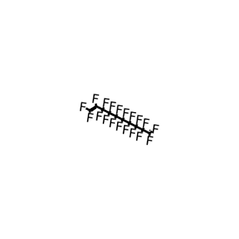 F[C](F)C(F)(F)C(F)(F)C(F)(F)C(F)(F)C(F)(F)C(F)(F)C(F)(F)C(F)=C(F)F